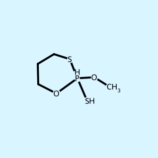 CO[PH]1(S)OCCCS1